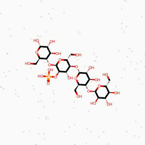 O=P(O)(O)O[C@H]1[C@@H](O[C@H]2[C@H](O)[C@@H](O)[C@@H](O)O[C@@H]2CO)O[C@H](CO)[C@@H](O[C@H]2O[C@H](CO)[C@@H](O[C@H]3O[C@H](CO)[C@@H](O)[C@H](O)[C@H]3O)[C@H](O)[C@H]2O)[C@@H]1O